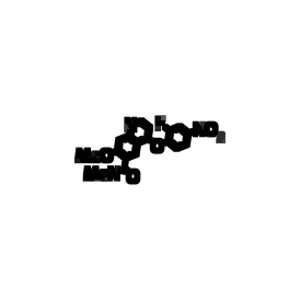 CNC(=O)c1cc2c(Oc3ccc([N+](=O)[O-])cc3F)ccnc2cc1OC